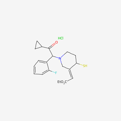 CCOC(=O)C=C1CN(C(C(=O)C2CC2)c2ccccc2F)CCC1S.Cl